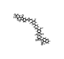 CCc1cc(Nc2ncc(Br)c(Nc3ccc4nccnc4c3P(C)(C)=O)n2)c(OC)cc1N1CCC(N2CC(C)N(CC3CN(c4ccc5c(c4)C(=O)N(C4CCC(=O)NC4=O)C5=O)C3)C(C)C2)CC1